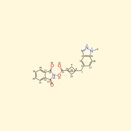 Cn1ncc2cc(CC34CC(C(=O)ON5C(=O)c6ccccc6C5=O)(C3)C4)ccc21